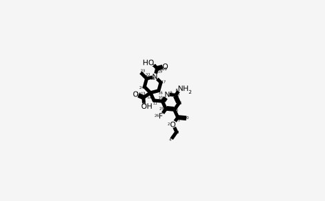 C=C(OCC)c1cc(N)nc(CC2(C(=O)O)CCN(C(=O)O)C(C)C2)c1F